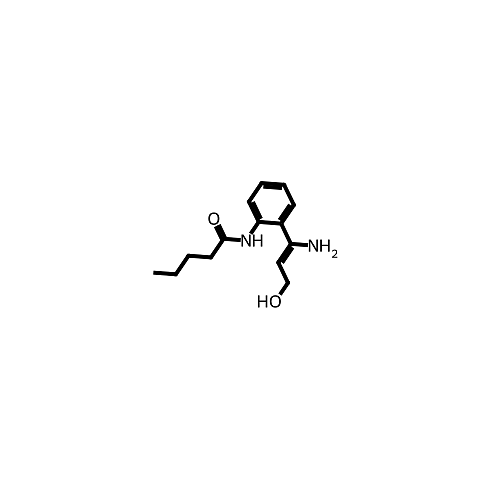 CCCCC(=O)Nc1ccccc1C(N)=CCO